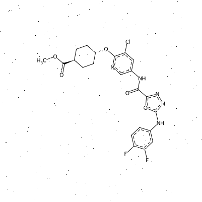 COC(=O)[C@H]1CC[C@H](Oc2ncc(NC(=O)c3nnc(Nc4ccc(F)c(F)c4)o3)cc2Cl)CC1